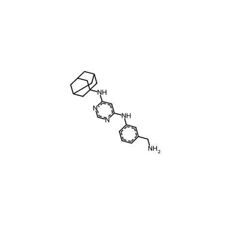 NCc1cccc(Nc2cc(NC34CC5CC(CC(C5)C3)C4)ncn2)c1